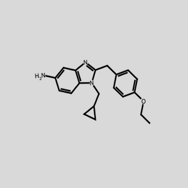 CCOc1ccc(Cc2nc3cc(N)ccc3n2CC2CC2)cc1